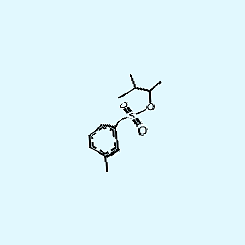 Cc1cccc(S(=O)(=O)OC(C)C(C)C)c1